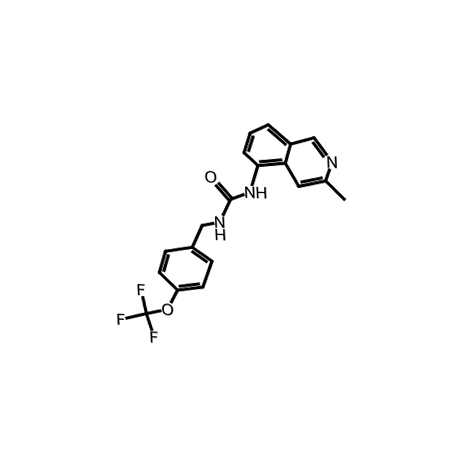 Cc1cc2c(NC(=O)NCc3ccc(OC(F)(F)F)cc3)cccc2cn1